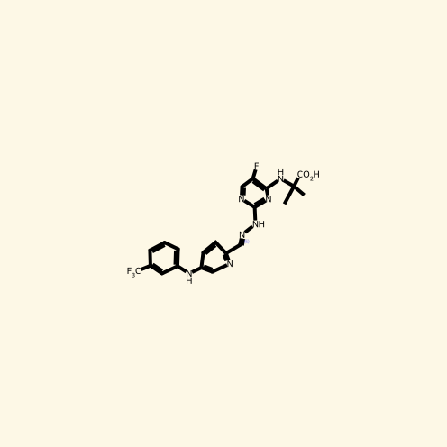 CC(C)(Nc1nc(N/N=C/c2ccc(Nc3cccc(C(F)(F)F)c3)cn2)ncc1F)C(=O)O